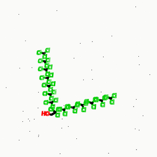 ClC(Cl)Cl.ClC(Cl)Cl.ClC(Cl)Cl.ClC(Cl)Cl.ClC(Cl)Cl.ClC(Cl)Cl.ClC(Cl)Cl.ClC(Cl)Cl.ClC(Cl)Cl.ClC(Cl)Cl.ClC(Cl)Cl.ClC(Cl)Cl.ClC(Cl)Cl.OCC(Cl)(Cl)Cl